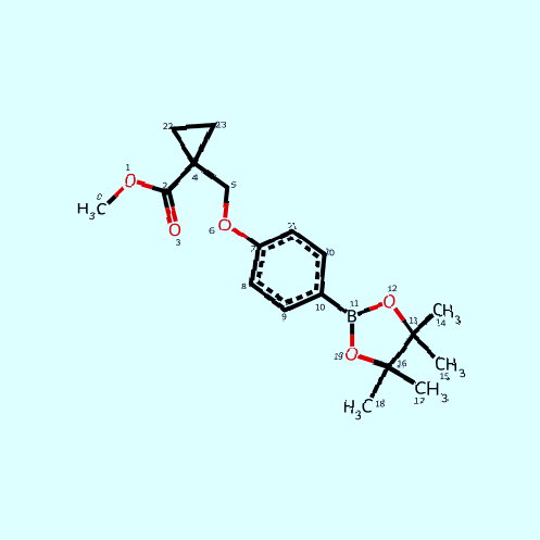 COC(=O)C1(COc2ccc(B3OC(C)(C)C(C)(C)O3)cc2)CC1